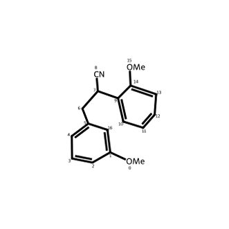 COc1cccc(CC(C#N)c2ccccc2OC)c1